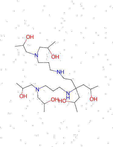 CC(O)CN(CCCNCCC(CC(C)O)(CC(C)O)NCCCN(CC(C)O)CC(C)O)CC(C)O